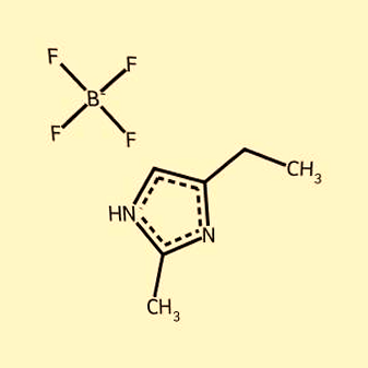 CCc1c[nH]c(C)n1.F[B-](F)(F)F